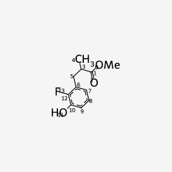 COC(=O)C(C)Cc1cccc(O)c1F